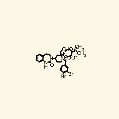 CN(C)C1CCN(C2(CC=O)CC(N3CCc4ccccc4NC3=O)CC[N@+]2(Cc2ccc(Br)c(Br)c2)C(=O)[O-])CC1